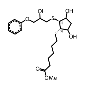 COC(=O)CCCCCC[C@H]1C(O)CC(O)[C@@H]1SCC(O)COc1ccccc1